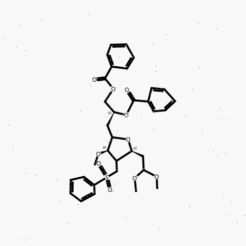 COC(C[C@@H]1OC(C[C@@H](COC(=O)c2ccccc2)OC(=O)c2ccccc2)[C@H](OC)C1CS(=O)(=O)c1ccccc1)OC